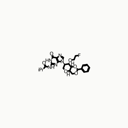 CC(C)C(=O)Nc1nc2c(ncn2[C@@H]2CO[C@@H]3COC(c4ccccc4)O[C@H]3[C@H]2OCCF)c(=O)[nH]1